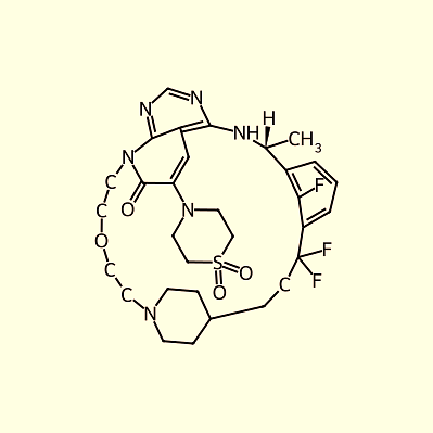 C[C@H]1Nc2ncnc3c2cc(N2CCS(=O)(=O)CC2)c(=O)n3CCOCCN2CCC(CC2)CCC(F)(F)c2cccc1c2F